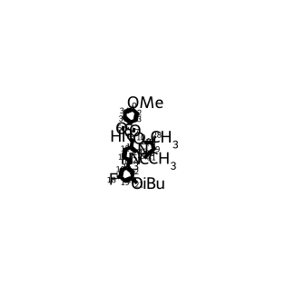 COc1ccc(S(=O)(=O)NC(=O)c2ccc(-c3cc(F)cc(OCC(C)C)c3)nc2N2C[C@@H](C)CC2(C)C)cc1